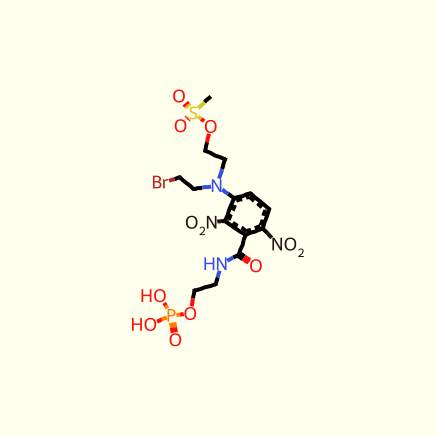 CS(=O)(=O)OCCN(CCBr)c1ccc([N+](=O)[O-])c(C(=O)NCCOP(=O)(O)O)c1[N+](=O)[O-]